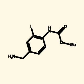 CC(C)(C)OC(=O)Nc1ccc(CN)cc1I